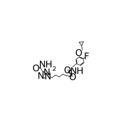 C[C@@H](NS(=O)(=O)CCCCCn1cnc(C(N)=O)n1)c1ccc(F)c(OCC2CC2)c1